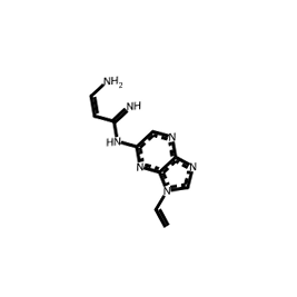 C=Cn1cnc2ncc(NC(=N)/C=C\N)nc21